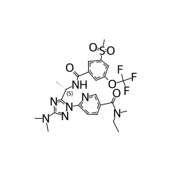 CCN(C)C(=O)c1ccc(-n2nc(N(C)C)nc2[C@H](C)NC(=O)c2cc(OC(F)(F)F)cc(S(C)(=O)=O)c2)nc1